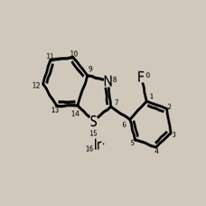 Fc1ccccc1-c1nc2ccccc2s1.[Ir]